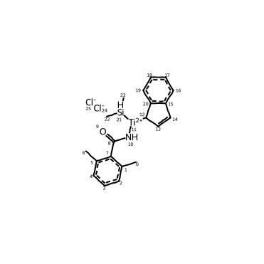 Cc1cccc(C)c1C(=O)[NH][Ti+2]([CH]1C=Cc2ccccc21)[SiH](C)C.[Cl-].[Cl-]